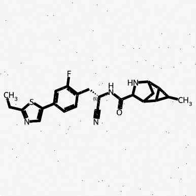 CCc1ncc(-c2ccc(C[C@@H](C#N)NC(=O)C3NC4CC3C3C(C)C43)c(F)c2)s1